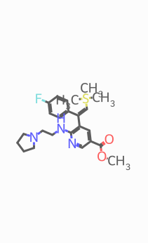 COC(=O)c1cnc(NCCN2CCCC2)c(/C(=C/S(C)(C)C)c2ccc(F)cc2)c1